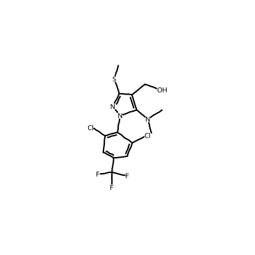 CSc1nn(-c2c(Cl)cc(C(F)(F)F)cc2Cl)c(N(C)C)c1CO